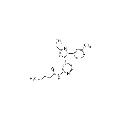 CCCCC(=O)Nc1cc(-c2sc(CC)nc2-c2cccc(C)c2)ccn1